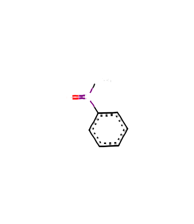 CCCCC[P](=O)c1ccccc1